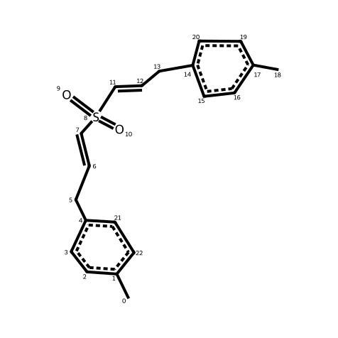 Cc1ccc(C/C=C/S(=O)(=O)/C=C/Cc2ccc(C)cc2)cc1